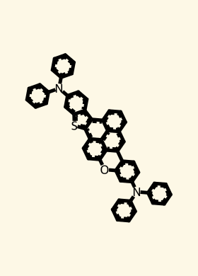 c1ccc(N(c2ccccc2)c2ccc3c(c2)Oc2ccc4c5sc6cc(N(c7ccccc7)c7ccccc7)ccc6c5c5cccc6cc-3c2c4c65)cc1